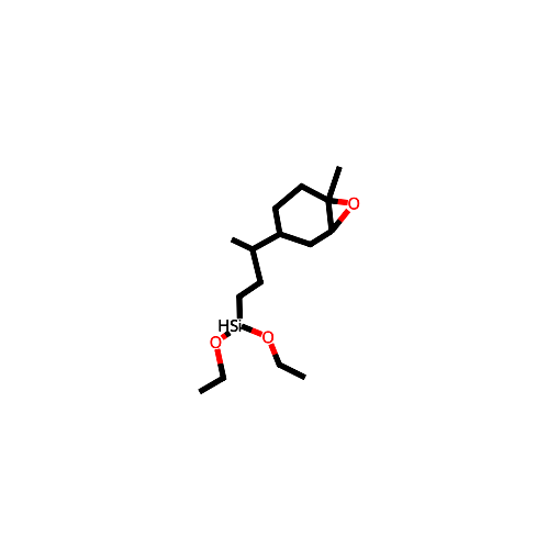 CCO[SiH](CCC(C)C1CCC2(C)OC2C1)OCC